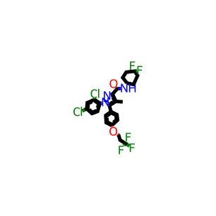 Cc1c(C(=O)NC2CCC(F)(F)CC2)nn(-c2ccc(Cl)cc2Cl)c1-c1ccc(OCCC(F)(F)F)cc1